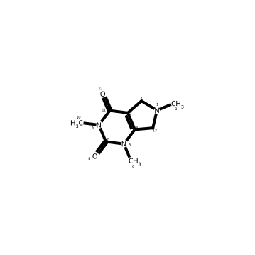 CN1Cc2c(n(C)c(=O)n(C)c2=O)C1